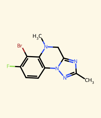 Cc1nc2n(n1)-c1ccc(F)c(Br)c1N(C)C2